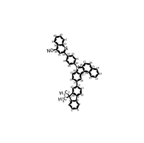 CC1(C)c2ccccc2-c2ccc(-c3ccc4c(c3)c3c5ccccc5ccc3n4-c3ccc(-c4cc(C#N)c5ccccc5n4)cc3)cc21